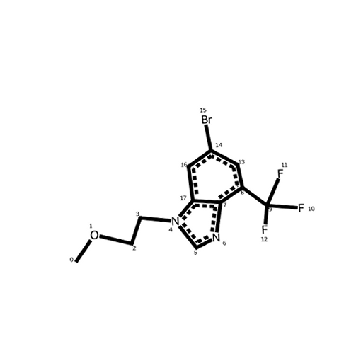 COCCn1cnc2c(C(F)(F)F)cc(Br)cc21